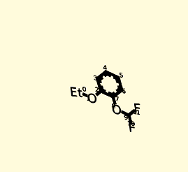 CCOc1[c]cccc1OC(F)F